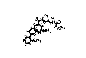 CCCN(OCCNC(=O)OC(C)(C)C)C(=O)C1=Cc2ccc(-c3cnccc3C)cc2N=C(N)C1